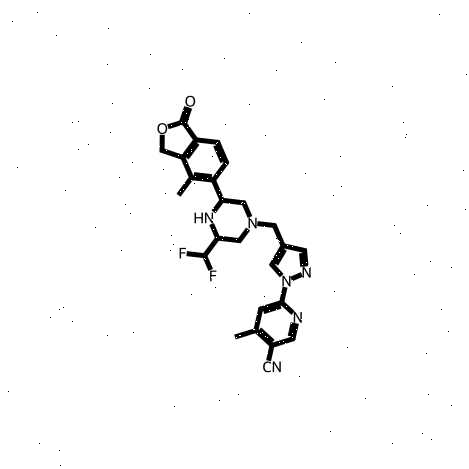 Cc1cc(-n2cc(CN3CC(c4ccc5c(c4C)COC5=O)NC(C(F)F)C3)cn2)ncc1C#N